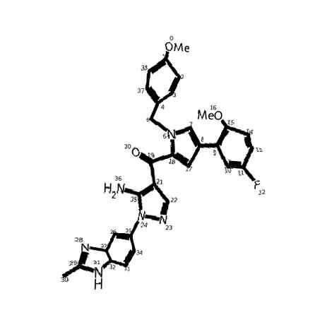 COc1ccc(Cn2cc(-c3cc(F)ccc3OC)cc2C(=O)c2cnn(C3=CC4N=C(C)NC4C=C3)c2N)cc1